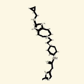 Cc1ncc(CC(=O)N[C@H]2CC[C@H](CCN3CCc4nc(OCC5CC5)sc4CC3)CC2)s1